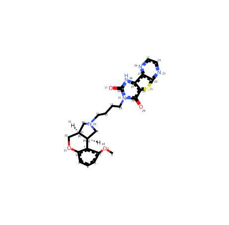 COc1cccc2c1[C@@H]1CN(CCCCn3c(=O)[nH]c4c(sc5nccnc54)c3=O)C[C@@H]1CO2